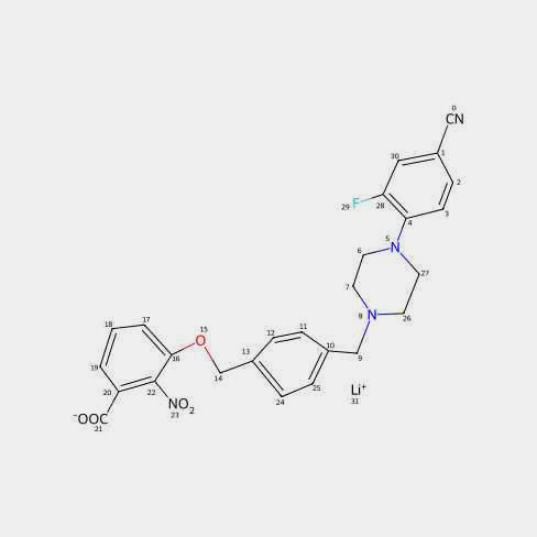 N#Cc1ccc(N2CCN(Cc3ccc(COc4cccc(C(=O)[O-])c4[N+](=O)[O-])cc3)CC2)c(F)c1.[Li+]